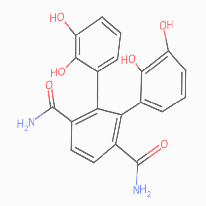 NC(=O)c1ccc(C(N)=O)c(-c2cccc(O)c2O)c1-c1cccc(O)c1O